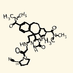 CN(C)C(=O)c1ccc2c(c1)CCc1cc(C(=O)N(C)C)ccc1C2(CCNCC(=O)N1CCC[C@H]1C#N)c1n[nH]c(=O)[nH]1